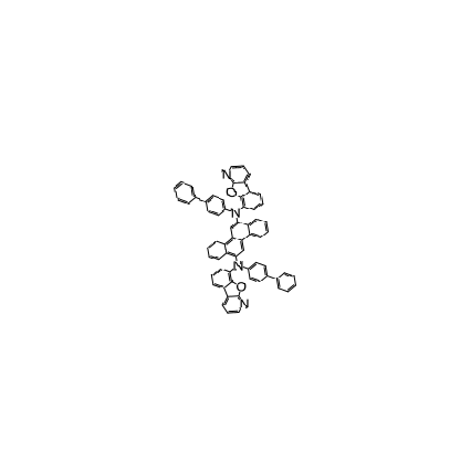 c1ccc(-c2ccc(N(c3cc4c5ccccc5c(N(c5ccc(-c6ccccc6)cc5)c5cccc6c5oc5ncccc56)cc4c4ccccc34)c3cccc4c3oc3ncccc34)cc2)cc1